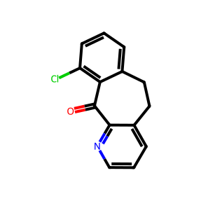 O=C1c2ncccc2CCc2cccc(Cl)c21